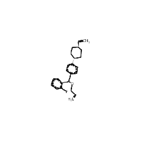 C=CCOC(c1ccc([C@H]2CC[C@H](C=C)CC2)cc1)c1ccccc1F